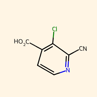 N#Cc1nccc(C(=O)O)c1Cl